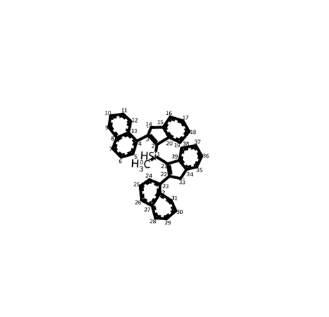 C[SiH](C1=C(c2cccc3ccccc23)[CH]c2ccccc21)C1=C(c2cccc3ccccc23)[CH]c2ccccc21